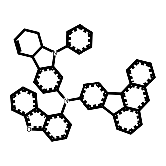 C1=CC2c3ccc(N(c4ccc5c(c4)-c4cccc6cc7ccccc7c-5c46)c4cccc5oc6ccccc6c45)cc3N(c3ccccc3)C2CC1